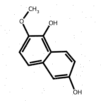 COc1ccc2cc(O)ccc2c1O